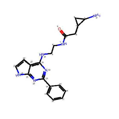 NC1CC1CC(=O)NCCNc1nc(-c2ccccc2)nc2[nH]ccc12